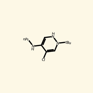 CCCNC1=CNN(C(C)(C)C)C=C1Cl